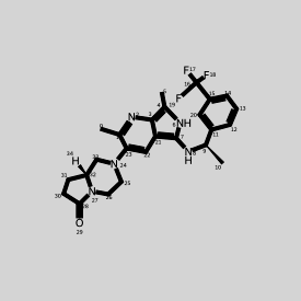 Cc1nc2c(C)[nH]c(N[C@H](C)c3cccc(C(F)(F)F)c3)c2cc1N1CCN2C(=O)CC[C@@H]2C1